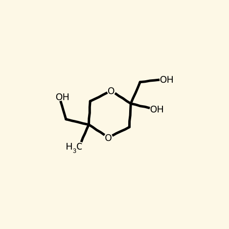 CC1(CO)COC(O)(CO)CO1